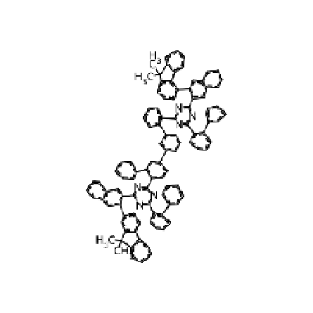 CC1(C)c2ccccc2-c2ccc(-c3cc4ccccc4cc3-c3nc(-c4ccccc4-c4ccccc4)nc(-c4ccc(-c5cccc(-c6ccccc6-c6nc(-c7ccccc7-c7ccccc7)nc(-c7cc8ccccc8cc7-c7cccc8c7-c7ccccc7C8(C)C)n6)c5)cc4-c4ccccc4)n3)cc21